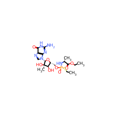 CCOC(=O)[C@@H](C)N[P@@](=O)(OC[C@H]1O[C@@H](n2cnc3c(=O)[nH]c(N)nc32)[C@](C)(O)[C@@H]1O)SCC